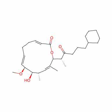 CO[C@H]1/C=C/CC/C=C/C(=O)OC([C@@H](C)C(=O)CCCC2CCCCC2)/C(C)=C\[C@H](C)[C@H]1O